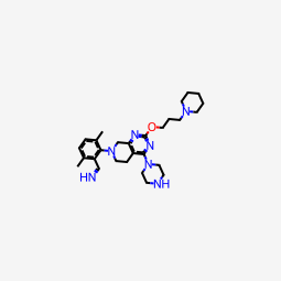 Cc1ccc(C)c(N2CCc3c(nc(OCCCN4CCCCC4)nc3N3CCNCC3)C2)c1C=N